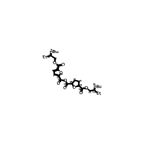 CCCCC(CC)COC(=O)c1ccc(C(=O)OC(=O)C2CCC(C(=O)OCC(CC)CCCC)O2)o1